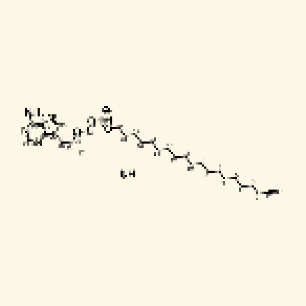 C#CCCCCCCCCCCCCCCCCCCO[PH](=O)OCO[C@H](C)Cn1cnc2c(N)ncnc21.N